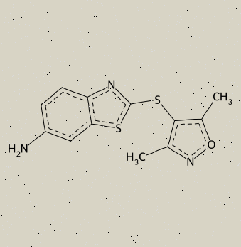 Cc1noc(C)c1Sc1nc2ccc(N)cc2s1